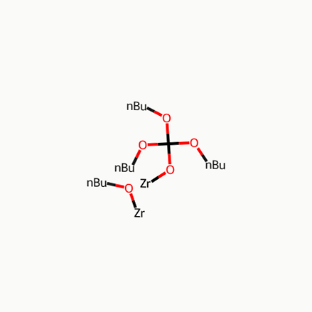 CCCCOC([O][Zr])(OCCCC)OCCCC.CCCC[O][Zr]